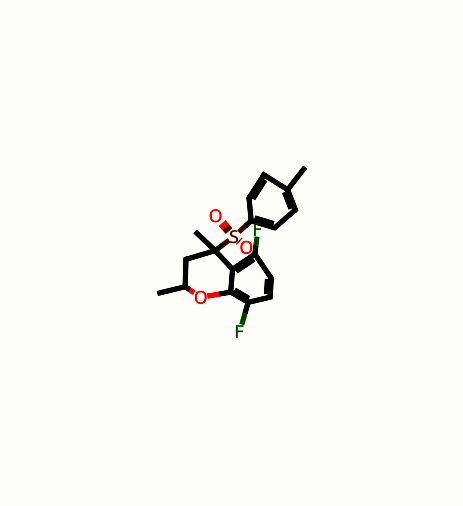 Cc1ccc(S(=O)(=O)C2(C)CC(C)Oc3c(F)ccc(F)c32)cc1